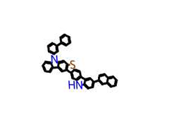 c1ccc(-c2cccc(-n3c4ccccc4c4cc5c(cc43)sc3cc4c(cc35)[nH]c3ccc(-c5ccc6ccccc6c5)cc34)c2)cc1